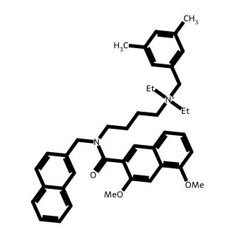 CC[N+](CC)(CCCCN(Cc1ccc2ccccc2c1)C(=O)c1cc2cccc(OC)c2cc1OC)Cc1cc(C)cc(C)c1